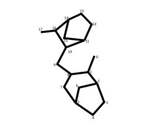 CC1C2CCC(C2)CC1CC1C2CCC(C2)C1C